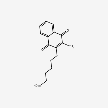 CCCCCCCCCCCCCCCC1=C(C)C(=O)c2ccccc2C1=O